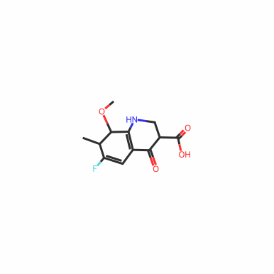 COC1C2=C(C=C(F)C1C)C(=O)C(C(=O)O)CN2